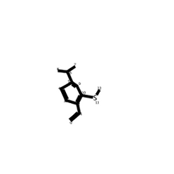 C=Cc1ccc(C(C)C)cc1SC